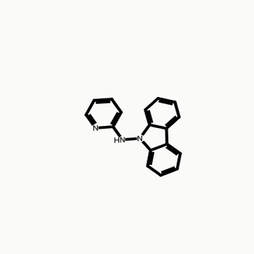 c1ccc(Nn2c3ccccc3c3ccccc32)nc1